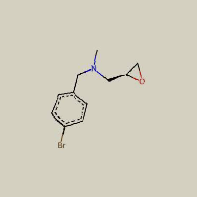 CN(Cc1ccc(Br)cc1)C[C@H]1CO1